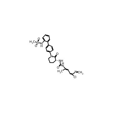 C=N/C(Cl)=C\C=C(/C)NC(=O)N[C@@H]1CCCN(c2ccc(-c3ccccc3NS(C)(=O)=O)cc2)C1=O